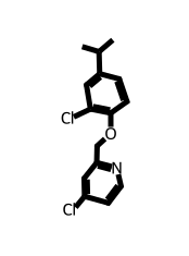 CC(C)c1ccc(OCc2cc(Cl)ccn2)c(Cl)c1